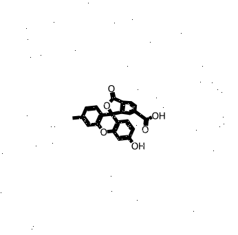 Cc1ccc2c(c1)Oc1cc(O)ccc1C21OC(=O)c2ccc(C(=O)O)cc21